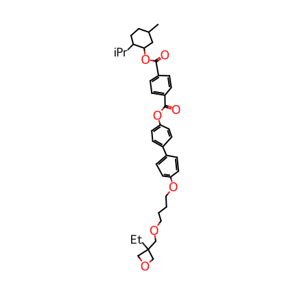 CCC1(COCCCCOc2ccc(-c3ccc(OC(=O)c4ccc(C(=O)OC5CC(C)CCC5C(C)C)cc4)cc3)cc2)COC1